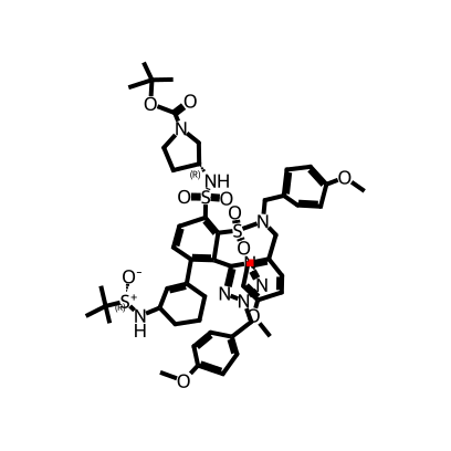 COc1ccc(CN(Cc2ccc(OC)cc2)S(=O)(=O)c2c(S(=O)(=O)N[C@@H]3CCN(C(=O)OC(C)(C)C)C3)ccc(C3=CC(N[S@@+]([O-])C(C)(C)C)CCC3)c2-c2nnn(Cc3ccc(OC)cc3)n2)cc1